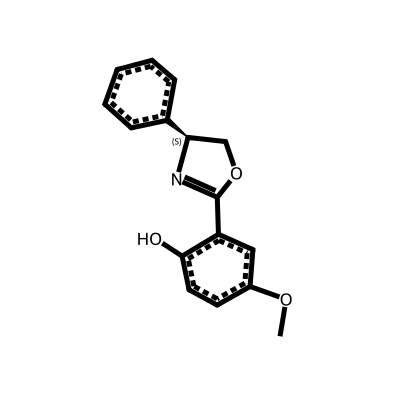 COc1ccc(O)c(C2=N[C@@H](c3ccccc3)CO2)c1